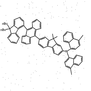 CCCCC1(CCCC)c2ccccc2-c2c(-c3c4ccccc4c(-c4ccc5c(c4)C(C)(C)c4cc(N(c6ccc(C)c7ccccc67)c6ccc(C)c7ccccc67)ccc4-5)c4ccccc34)cccc21